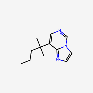 CCCC(C)(C)c1cncn2ccnc12